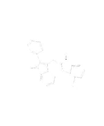 COc1cccc2c1OC(=Cc1c(-c3ccccc3)n(C)c3ccccc13)C2=O